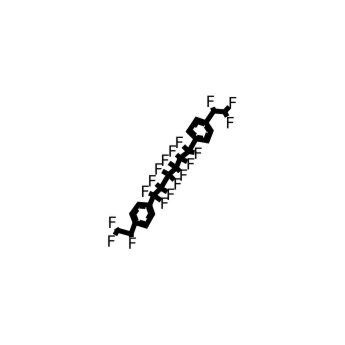 FC(F)C(F)c1ccc(C(F)(F)C(F)(F)C(F)(F)C(F)(F)C(F)(F)C(F)(F)c2ccc(C(F)C(F)F)cc2)cc1